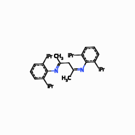 CC(CC(C)=Nc1c(C(C)C)cccc1C(C)C)=Nc1c(C(C)C)cccc1C(C)C